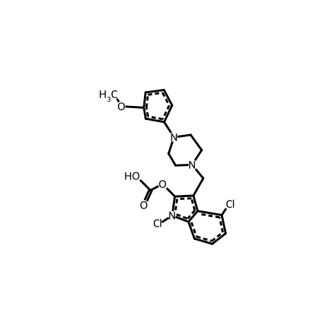 COc1cccc(N2CCN(Cc3c(OC(=O)O)n(Cl)c4cccc(Cl)c34)CC2)c1